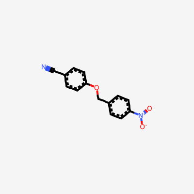 N#Cc1ccc(OCc2ccc([N+](=O)[O-])cc2)cc1